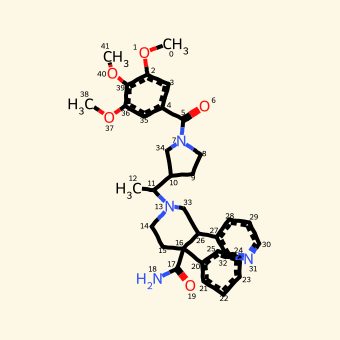 COc1cc(C(=O)N2CCC(C(C)N3CCC(C(N)=O)(c4ccccc4)C(c4cccnc4)C3)C2)cc(OC)c1OC